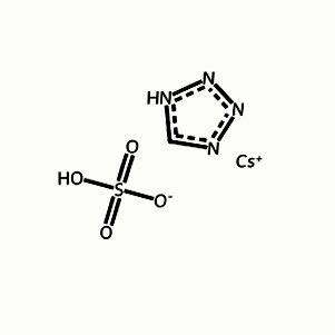 O=S(=O)([O-])O.[Cs+].c1nnn[nH]1